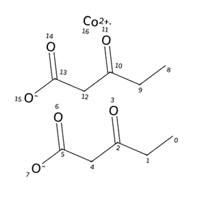 CCC(=O)CC(=O)[O-].CCC(=O)CC(=O)[O-].[Co+2]